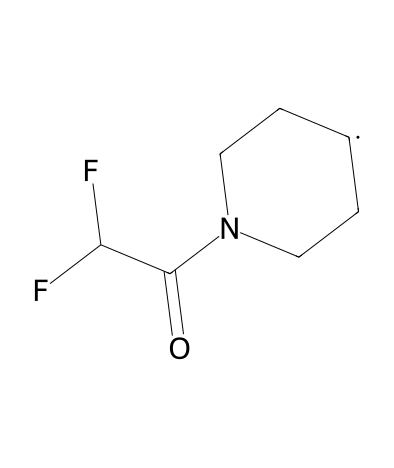 O=C(C(F)F)N1CC[CH]CC1